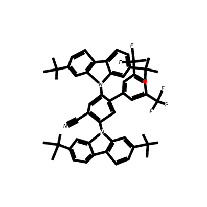 CC(C)(C)c1ccc2c3ccc(C(C)(C)C)cc3n(-c3cc(-c4cc(C(F)(F)F)cc(C(F)(F)F)c4)c(-n4c5cc(C(C)(C)C)ccc5c5ccc(C(C)(C)C)cc54)cc3C#N)c2c1